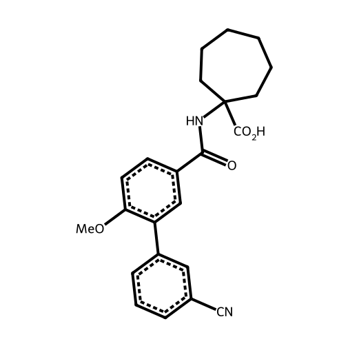 COc1ccc(C(=O)NC2(C(=O)O)CCCCCC2)cc1-c1cccc(C#N)c1